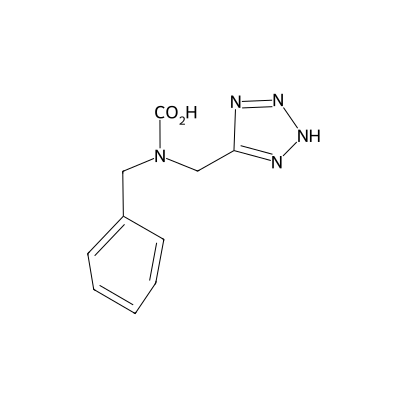 O=C(O)N(Cc1ccccc1)Cc1nn[nH]n1